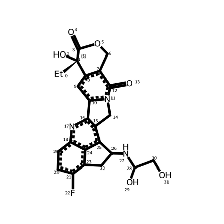 CC[C@@]1(O)C(=O)OCc2c1cc1n(c2=O)Cc2c-1nc1ccc(F)c3c1c2C(NC(O)CO)C3